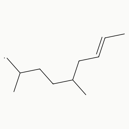 [CH2]C(C)CCC(C)CC=CC